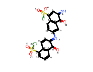 N=C1C=C(S(=O)(=O)Cl)c2ccc(/N=C3\C=Cc4c(cccc4S(=O)(=O)Cl)C3=O)cc2C1=O